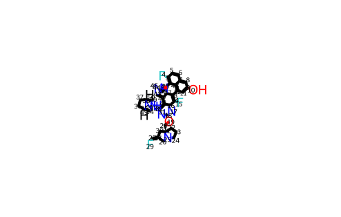 C#Cc1c(F)ccc2cc(O)cc(-c3c(F)c4nc(OC[C@@]56CCCN5C/C(=C\F)C6)nc(N5C[C@H]6CC[C@@H](C5)N6)c4c4cn(C)nc34)c12